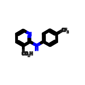 O=C(O)c1cccnc1Nc1ccc(C(F)(F)F)cc1